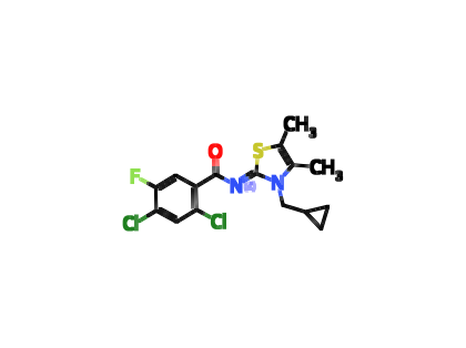 Cc1s/c(=N\C(=O)c2cc(F)c(Cl)cc2Cl)n(CC2CC2)c1C